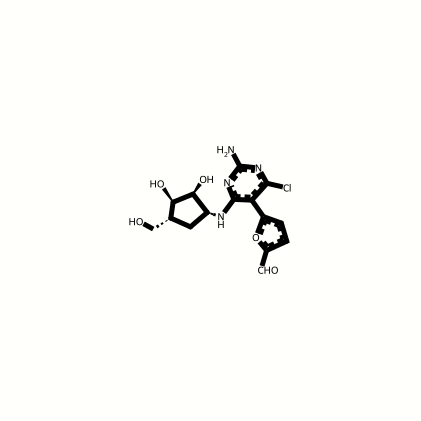 Nc1nc(Cl)c(-c2ccc(C=O)o2)c(N[C@@H]2C[C@H](CO)[C@@H](O)[C@H]2O)n1